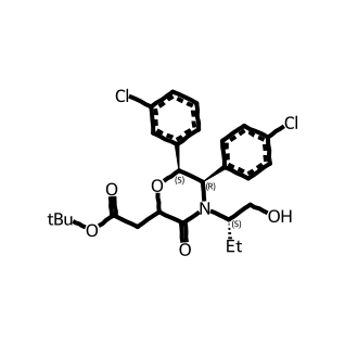 CC[C@@H](CO)N1C(=O)C(CC(=O)OC(C)(C)C)O[C@@H](c2cccc(Cl)c2)[C@H]1c1ccc(Cl)cc1